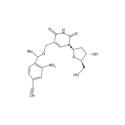 C#Cc1ccc(C(OCc2cn([C@H]3C[C@H](O)[C@@H](CO)O3)c(=O)[nH]c2=O)C(C)(C)C)c([N+](=O)[O-])c1